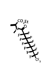 C=C(C(=O)OCC)N(C)C(=O)C(F)(F)C(F)(F)C(F)(F)C(F)(F)C(F)(F)C(F)(F)C(F)(F)F